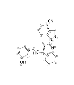 N#Cc1cccc2c1cnn2-c1nc2c(c(NCc3cccc(O)c3)n1)CCCC2